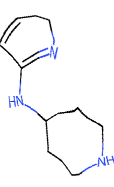 C1=CC(NC2CCNCC2)=NC1